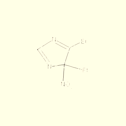 CCC1=NC=NC1(CC)[N+](=O)[O-]